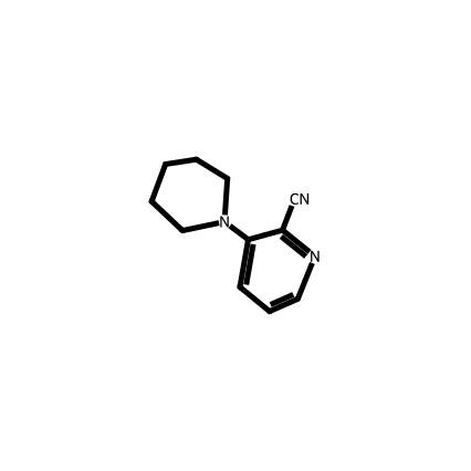 N#Cc1ncccc1N1CCCCC1